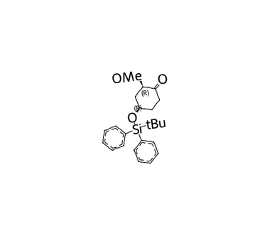 CO[C@@H]1C[C@H](O[Si](c2ccccc2)(c2ccccc2)C(C)(C)C)CCC1=O